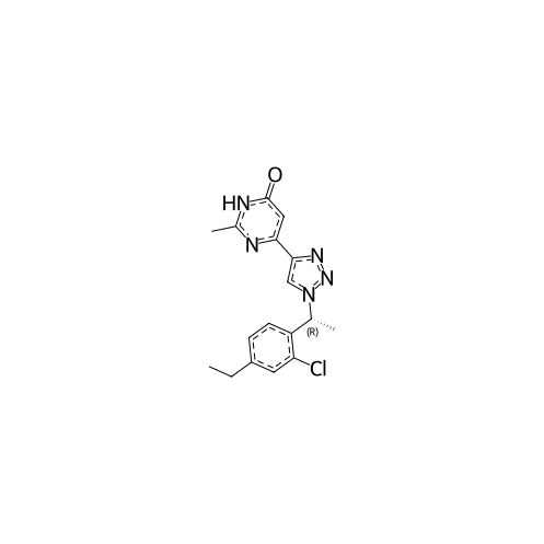 CCc1ccc([C@@H](C)n2cc(-c3cc(=O)[nH]c(C)n3)nn2)c(Cl)c1